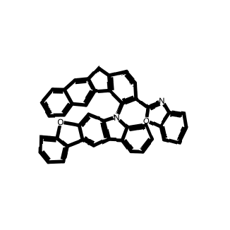 c1ccc2cc3c(cc2c1)Cc1ccc(-c2nc4ccccc4o2)c(-n2c4ccccc4c4cc5c(cc42)oc2ccccc25)c1-3